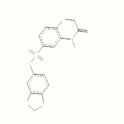 CN1C(=O)COc2ccc(S(=O)(=O)Nc3ccc4c(c3)OCO4)cc21